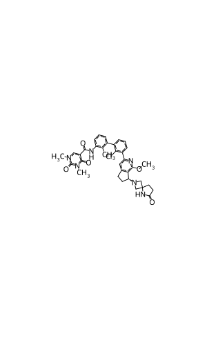 COc1nc(-c2cccc(-c3cccc(NC(=O)c4cn(C)c(=O)n(C)c4=O)c3C)c2Cl)cc2c1[C@@H](N1CC3(CCC(=O)N3)C1)CC2